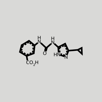 O=C(Nc1cccc(C(=O)O)c1)Nc1cc(C2CC2)n[nH]1